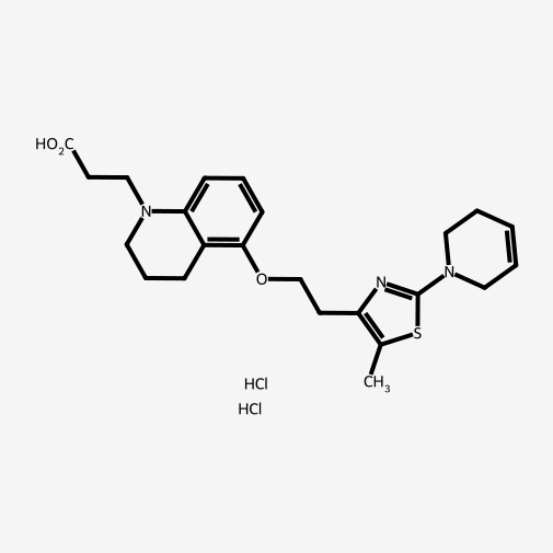 Cc1sc(N2CC=CCC2)nc1CCOc1cccc2c1CCCN2CCC(=O)O.Cl.Cl